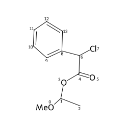 COC(C)OC(=O)C(Cl)c1ccccc1